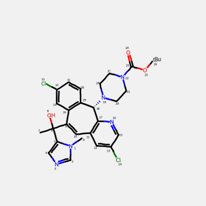 Cn1cncc1C(C)(O)C1=Cc2cc(Cl)cnc2[C@@H](N2CCN(C(=O)OC(C)(C)C)CC2)c2ccc(Cl)cc21